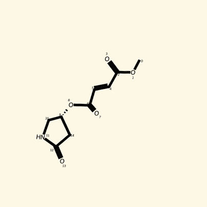 COC(=O)/C=C/C(=O)O[C@H]1CNC(=O)C1